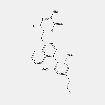 CCOCc1cc(OC)c(-c2ccc(CC(NC(=O)OC(C)(C)C)C(=O)OC)c3ccncc23)c(OC)c1